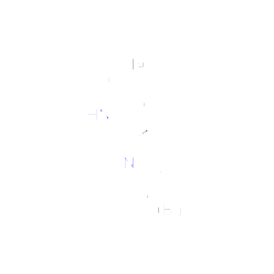 C#CC[C@@H]1[C@@H](NC(=O)OC(C)(C)C)CCN1C(=O)OC(C)(C)C